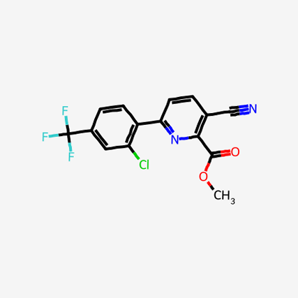 COC(=O)c1nc(-c2ccc(C(F)(F)F)cc2Cl)ccc1C#N